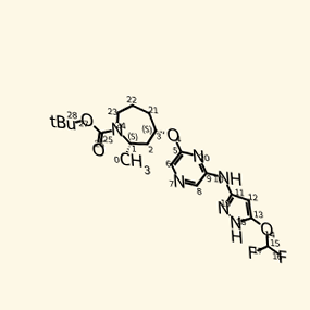 C[C@H]1C[C@@H](Oc2cncc(Nc3cc(OC(F)F)[nH]n3)n2)CCCN1C(=O)OC(C)(C)C